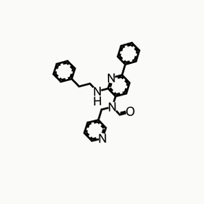 O=CN(Cc1cccnc1)c1ccc(-c2ccccc2)nc1NCCc1ccccc1